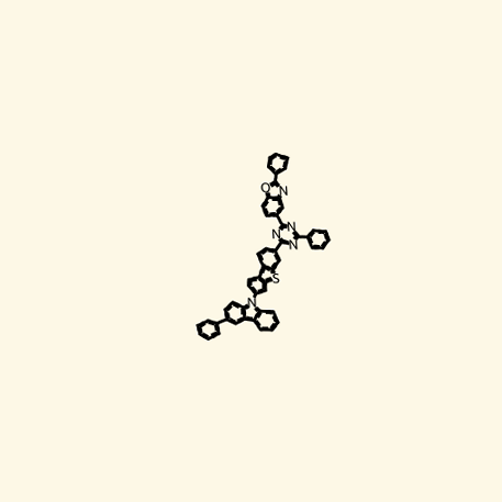 c1ccc(-c2ccc3c(c2)c2ccccc2n3-c2ccc3c(c2)sc2cc(-c4nc(-c5ccccc5)nc(-c5ccc6oc(-c7ccccc7)nc6c5)n4)ccc23)cc1